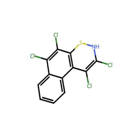 ClC1=C(Cl)c2c(c(Cl)c(Cl)c3ccccc23)SN1